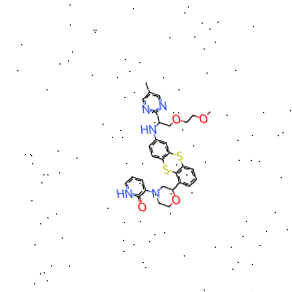 COCCOCC(Nc1ccc2c(c1)Sc1cccc(C3CN(c4ccc[nH]c4=O)CCO3)c1S2)c1ncc(C)cn1